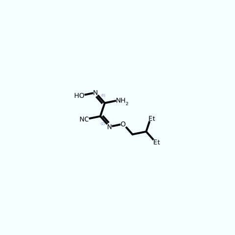 CCC(CC)CO/N=C(C#N)\C(N)=N/O